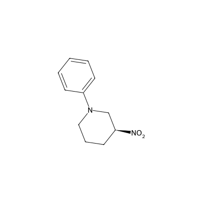 O=[N+]([O-])[C@H]1CCCN(c2ccccc2)C1